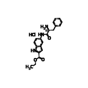 CCOC(=O)c1cc2cc(NC(=O)[C@@H](N)Cc3ccccc3)ccc2[nH]1.Cl